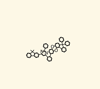 CC1(C)c2ccccc2-c2ccc(-c3cc(-c4ccccc4-c4ccc5c(c4)Oc4c(ccc6c4-c4ccccc4C6(c4ccccc4)c4ccccc4)O5)nc(-c4ccccc4)n3)cc21